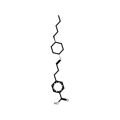 CCCCC[C@H]1CC[C@H](C=CCCc2ccc(C(=O)O)cc2)CC1